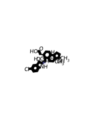 C[C@]1(/C=C2/Nc3ccc(Cl)cc3C2=O)[C@@H](CC(=O)O)CC[C@@H]2[C@@H]1CC[C@@]1(C)[C@H]2CC[C@]1(C)O